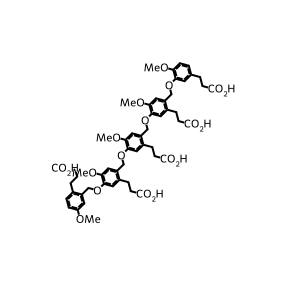 COc1ccc(CCC(=O)O)c(COc2cc(CCC(=O)O)c(COc3cc(CCC(=O)O)c(COc4cc(CCC(=O)O)c(COc5cc(CCC(=O)O)ccc5OC)cc4OC)cc3OC)cc2OC)c1